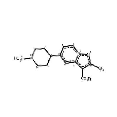 CCOC(=O)c1c(C(F)(F)F)nn2ccc(C3CCN(C(=O)O)CC3)cc12